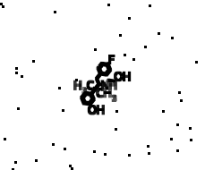 CC(C)(c1cccc(O)c1)C(Cc1ccc(F)cc1)NCCO